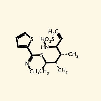 C=CC(NS(=O)(=O)O)[C@H](C)[C@H](C)[C@@H](C)S/C(=N\C)c1cccs1